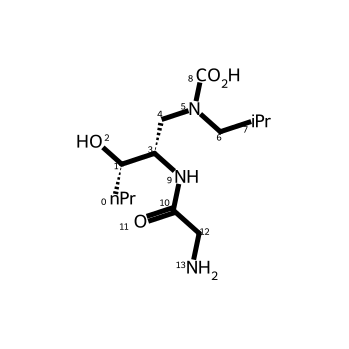 CCC[C@H](O)[C@H](CN(CC(C)C)C(=O)O)NC(=O)CN